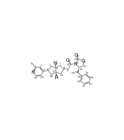 Cc1cc(C2C[C@@H]3CC([C@@H](C)C(=O)N4C(=O)OC[C@H]4Cc4ccccc4)C[C@@H]3C2)ccn1